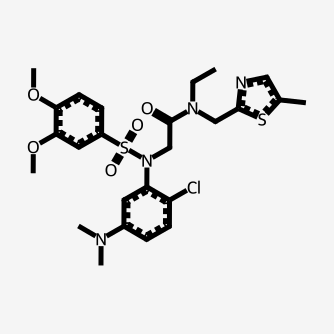 CCN(Cc1ncc(C)s1)C(=O)CN(c1cc(N(C)C)ccc1Cl)S(=O)(=O)c1ccc(OC)c(OC)c1